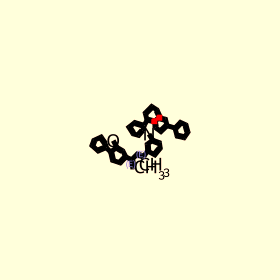 C/C=C(\C=C(/C)c1cccc(N(c2cccc(-c3ccccc3)c2)c2ccccc2-c2ccccc2)c1)c1ccc2c(c1)oc1ccccc12